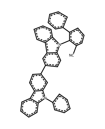 N#Cc1cccc(-c2ccccc2)c1-n1c2ccccc2c2cc(-c3ccc4c5ccccc5n(-c5ccccc5)c4c3)ccc21